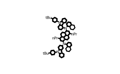 CCCc1cc(N(c2ccc3c(c2)c2ccccc2n3-c2ccc(C(C)(C)C)cc2)c2cccc3c2CCCC3)c2ccc3c(CCC)cc(N(c4cccc5c4CCCC5)c4cccc5c4c4ccccc4n5-c4ccc(C(C)(C)C)cc4)c4ccc1c2c34